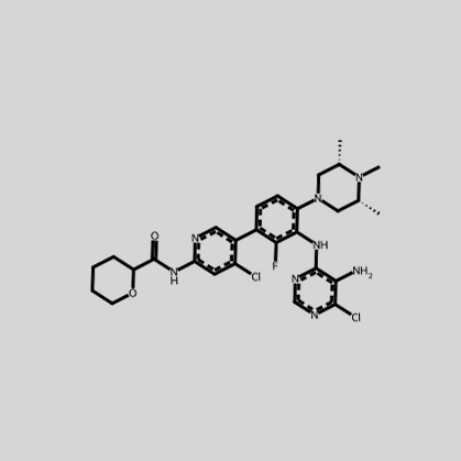 C[C@@H]1CN(c2ccc(-c3cnc(NC(=O)C4CCCCO4)cc3Cl)c(F)c2Nc2ncnc(Cl)c2N)C[C@H](C)N1C